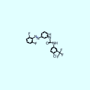 O=C(Nc1cccc(/N=N/c2c(F)cccc2F)c1)Nc1ccc(Cl)c(C(F)(F)F)c1